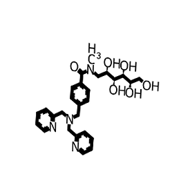 CN(C[C@H](O)[C@@H](O)[C@H](O)[C@H](O)CO)C(=O)c1ccc(CN(Cc2ccccn2)Cc2ccccn2)cc1